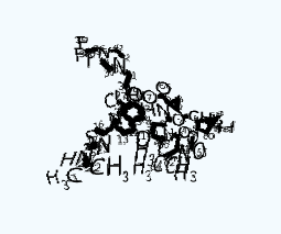 C=C[C@@H]1C[C@]1(NC(=O)[C@@H]1CC(Oc2cc(-c3csc(NC(C)C)n3)nc3c(Cl)c(OCCN4CCN(CC(F)(F)F)CC4)ccc23)CN1C(=O)[C@@H](NC(=O)O[C@H]1CC2=C[C@H]2C1)C(C)(C)C)C(=O)O